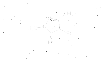 CCC1C(C)=NN(C)C1CC